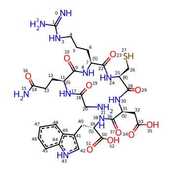 N=C(N)NCCC[C@H](NC(=O)[C@H](CCC(N)=O)NC(=O)CN)C(=O)N[C@@H](CS)C(=O)N[C@@H](CC(=O)O)C(=O)N[C@@H](Cc1c[nH]c2ccccc12)C(=O)O